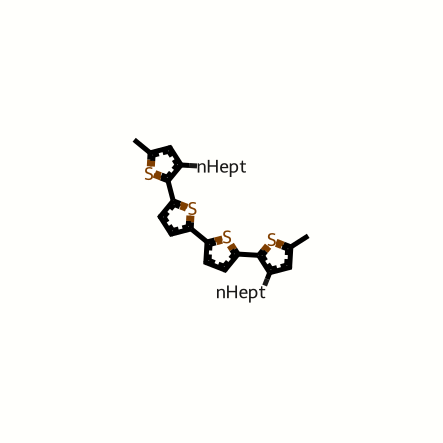 CCCCCCCc1cc(C)sc1-c1ccc(-c2ccc(-c3sc(C)cc3CCCCCCC)s2)s1